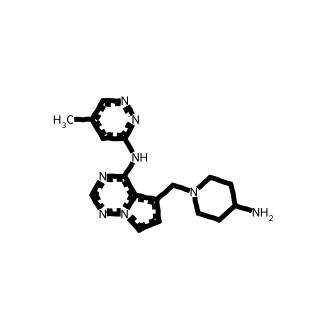 Cc1cnnc(Nc2ncnn3ccc(CN4CCC(N)CC4)c23)c1